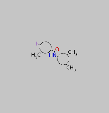 CC1CCCC(NC(=O)C2CCCCC(I)CC(C)CC2)CCC(C)CC1